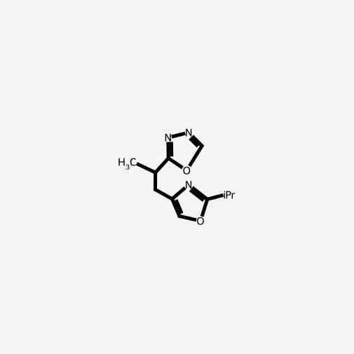 CC(C)c1nc(CC(C)c2nnco2)co1